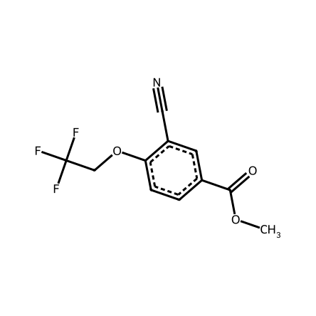 COC(=O)c1ccc(OCC(F)(F)F)c(C#N)c1